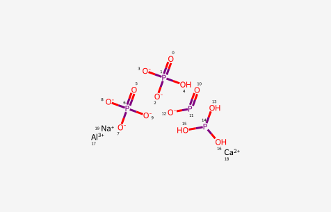 O=P([O-])([O-])O.O=P([O-])([O-])[O-].O=P[O-].OP(O)O.[Al+3].[Ca+2].[Na+]